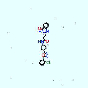 O=C(CCc1nc2ccccc2c(=O)[nH]1)NC1CCC(c2nnc(-c3ccccc3Cl)o2)CC1